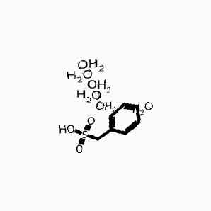 O.O.O.O.O.O.O=S(=O)(O)Cc1ccccc1